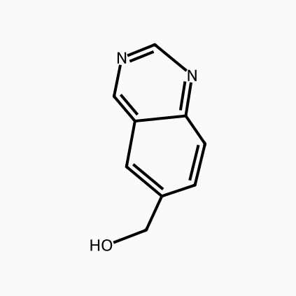 OCc1ccc2ncncc2c1